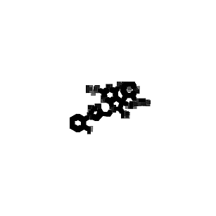 CCCC1(c2cccnc2OC)c2c(N)nc(C)nc2N(Cc2cn(-c3ccccc3F)nn2)C1CC